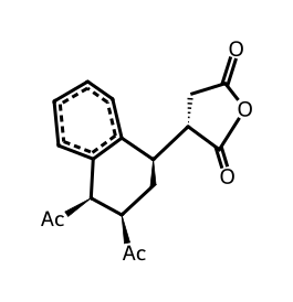 CC(=O)[C@@H]1C[C@H]([C@@H]2CC(=O)OC2=O)c2ccccc2[C@@H]1C(C)=O